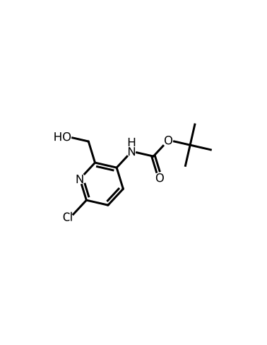 CC(C)(C)OC(=O)Nc1ccc(Cl)nc1CO